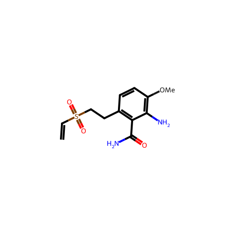 C=CS(=O)(=O)CCc1ccc(OC)c(N)c1C(N)=O